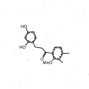 COc1c(C(=O)CCc2ccc(O)cc2O)ccc(C)c1C